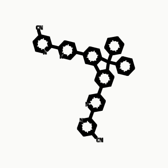 N#Cc1ccnc(-c2ccc(-c3ccc4c(c3)-c3cc(-c5ccc(-c6cc(C#N)ccn6)nc5)ccc3C4(c3ccccc3)c3ccccc3)cn2)c1